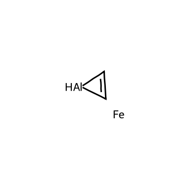 [CH]1=[CH][AlH]1.[Fe]